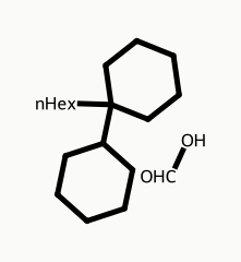 CCCCCCC1(C2CCCCC2)CCCCC1.O=CO